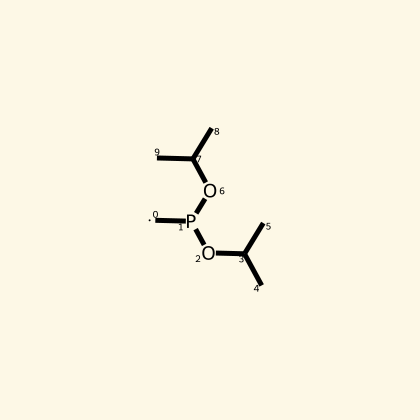 [CH2]P(OC(C)C)OC(C)C